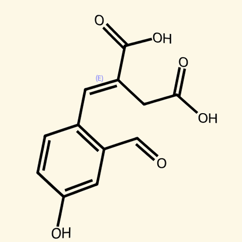 O=Cc1cc(O)ccc1/C=C(\CC(=O)O)C(=O)O